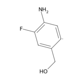 Nc1c[c]c(CO)cc1F